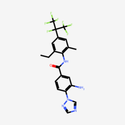 CCc1cc(C(F)(C(F)(F)F)C(F)(F)F)cc(C)c1NC(=O)c1ccc(-n2cncn2)c(N)c1